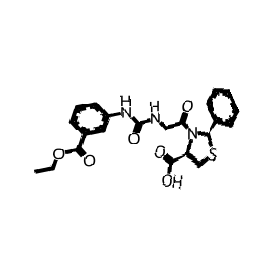 CCOC(=O)c1cccc(NC(=O)NCC(=O)N2[C@@H](c3ccccc3)SC[C@H]2C(=O)O)c1